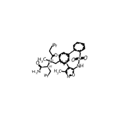 Cc1noc(NS(=O)(=O)c2ccccc2-c2ccc(C[N+](C)(C(=O)CC(C)C)[C@@H](CC(C)C)C(N)=O)cc2)c1C